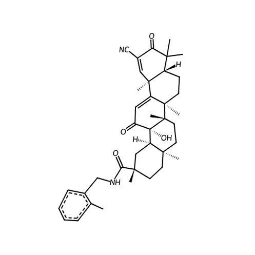 Cc1ccccc1CNC(=O)[C@@]1(C)CC[C@]2(C)CC[C@@]3(C)[C@]4(C)CC[C@H]5C(C)(C)C(=O)C(C#N)=C[C@]5(C)C4=CC(=O)[C@]3(O)[C@@H]2C1